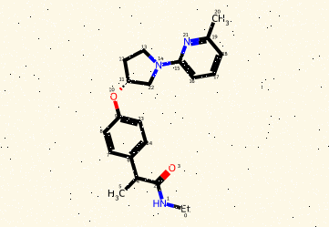 CCNC(=O)C(C)c1ccc(O[C@@H]2CCN(c3cccc(C)n3)C2)cc1